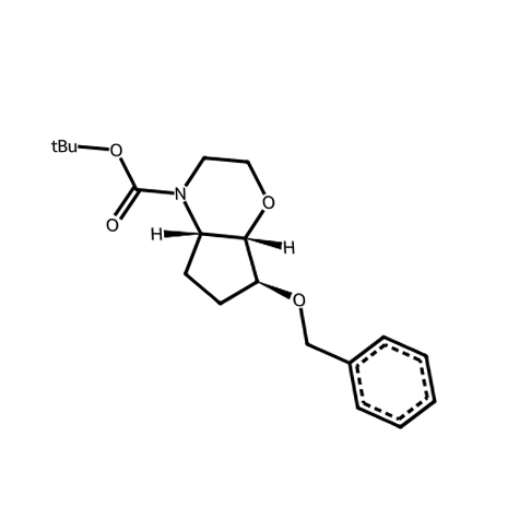 CC(C)(C)OC(=O)N1CCO[C@@H]2[C@@H](OCc3ccccc3)CC[C@@H]21